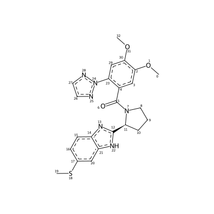 COc1cc(C(=O)N2CCC[C@H]2c2nc3ccc(SC)cc3[nH]2)c(-n2nccn2)cc1OC